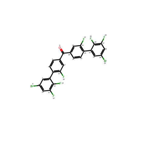 O=C(c1ccc(-c2cc(Br)cc(F)c2F)c(F)c1)c1ccc(-c2cc(Br)cc(F)c2F)c(F)c1